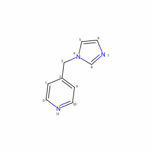 [c]1cc(Cn2ccnc2)ccn1